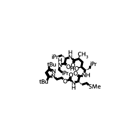 CSCC[C@H](NC(=O)OCCn1nc(C(C)(C)C)cc1C(C)(C)C)C(=O)N[C@@H](CC(C)C)[C@@H](O)C[C@@H](C)C(=O)N[C@@H](CC(C)C)C(=O)NCC(C)C